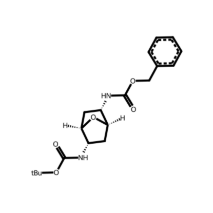 CC(C)(C)OC(=O)N[C@H]1C[C@H]2O[C@@H]1C[C@@H]2NC(=O)OCc1ccccc1